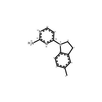 Cc1ccc2c(c1)CCN2c1ccnc(N)n1